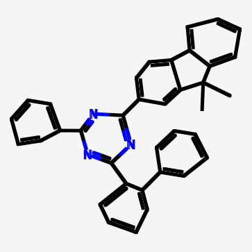 CC1(C)c2ccccc2-c2ccc(-c3nc(-c4ccccc4)nc(-c4ccccc4-c4ccccc4)n3)cc21